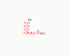 Br.O.O.O.O.O.O.O.[Ce]